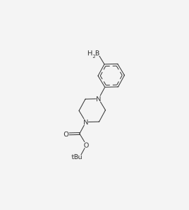 Bc1cccc(N2CCN(C(=O)OC(C)(C)C)CC2)c1